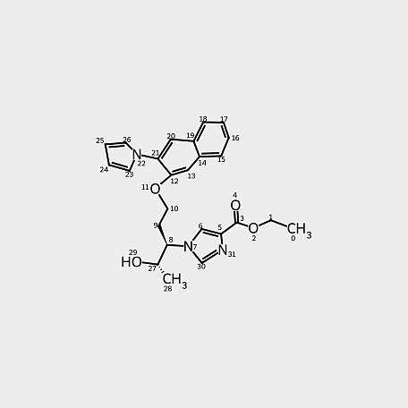 CCOC(=O)c1cn([C@H](CCOc2cc3ccccc3cc2-n2cccc2)[C@H](C)O)cn1